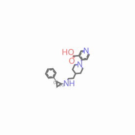 O=C(O)c1cnccc1N1CCC(CCN[C@@H]2C[C@H]2c2ccccc2)CC1